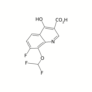 O=C(O)c1cnc2c(OC(F)F)c(F)ccc2c1O